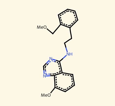 COCc1ccccc1CCNc1ncnc2c(OC)cccc12